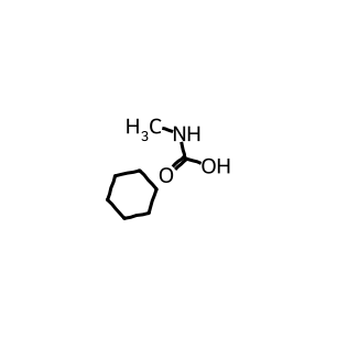 C1CCCCC1.CNC(=O)O